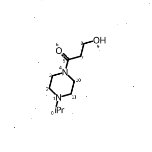 CC(C)N1CCN(C(=O)CCO)CC1